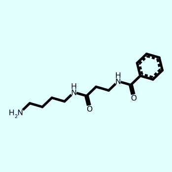 NCCCCNC(=O)CCNC(=O)c1ccccc1